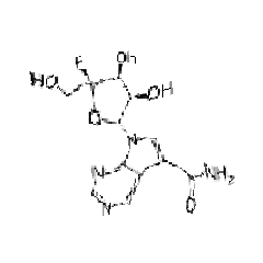 NC(=O)c1cn([C@@H]2O[C@](F)(CO)[C@@H](O)[C@H]2O)c2ncncc12